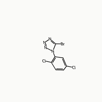 Clc1ccc(Cl)c(-n2nnnc2Br)c1